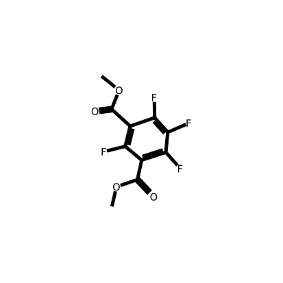 COC(=O)c1c(F)c(F)c(F)c(C(=O)OC)c1F